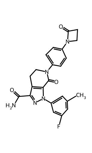 Cc1cc(F)cc(-n2nc(C(N)=O)c3c2C(=O)N(c2ccc(N4CCC4=O)cc2)CC3)c1